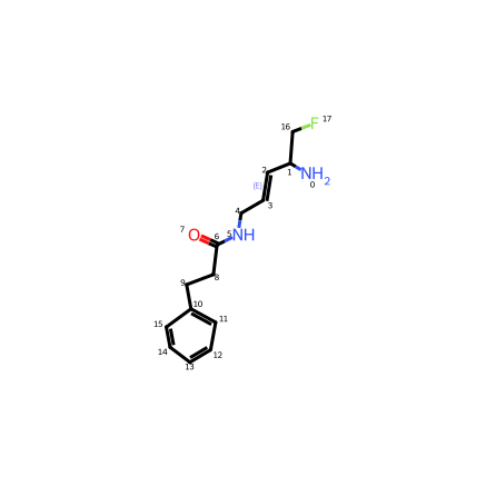 NC(/C=C/CNC(=O)CCc1ccccc1)CF